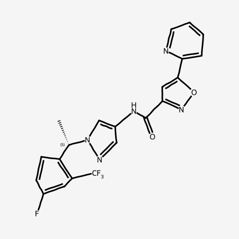 C[C@@H](c1ccc(F)cc1C(F)(F)F)n1cc(NC(=O)c2cc(-c3ccccn3)on2)cn1